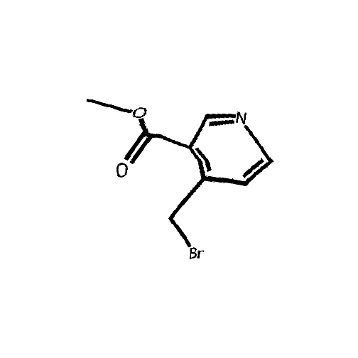 COC(=O)c1cnccc1CBr